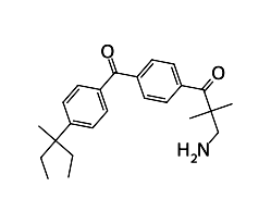 CCC(C)(CC)c1ccc(C(=O)c2ccc(C(=O)C(C)(C)CN)cc2)cc1